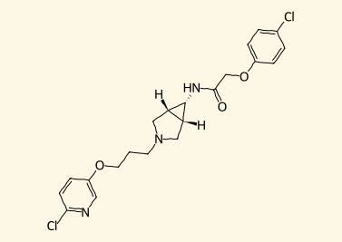 O=C(COc1ccc(Cl)cc1)N[C@@H]1[C@@H]2CN(CCCOc3ccc(Cl)nc3)C[C@@H]21